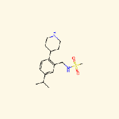 CC(C)c1ccc(C2CCNCC2)c(CNS(C)(=O)=O)c1